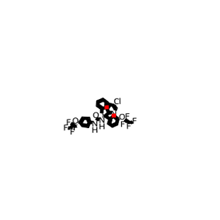 O=C(Nc1ccc(OC(F)(F)C(F)F)cc1)N[C@](Cc1ccccc1)(c1cccc(OC(F)(F)C(F)F)c1)c1ccc(Cl)cn1